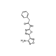 Nc1nonc1-c1nnc(NC(=O)Cc2ccccc2)o1